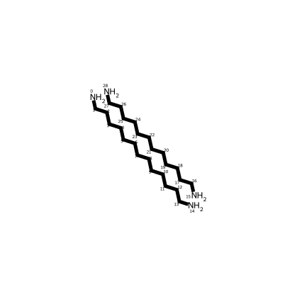 NCCCCCCCCCCCCCN.NCCCCCCCCCCCCN